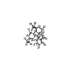 CC1=C(C)C(C)([Si](C)(c2cc(C)cc([Si](C)(C)C)c2)c2cc(C)cc([Si](C)(C)C)c2)[C]([Ti]([CH3])[CH3])=C1C